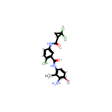 Cc1c(NC(=O)c2cc(NC(=O)C3CC3(Cl)Cl)ccc2Cl)ccc(Br)c1N